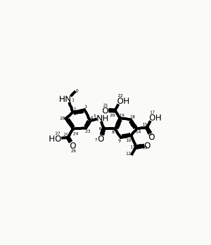 CNc1cc(NC(=O)c2cc(C(C)=O)c(C(=O)O)cc2C(=O)O)cc(C(=O)O)c1